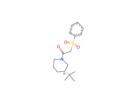 CC(C)(C)[C@@H]1CCCN(C(=O)CS(=O)(=O)c2ccccc2)C1